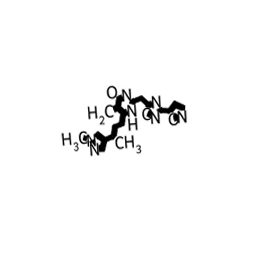 C=c1c(=O)nc(Cc2nc(-c3ccno3)no2)[nH]/c1=C/C=C(\C)c1cnn(C)c1